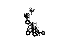 CCC(=O)OCn1nnc(-c2cccc(NC(=O)CN3NC(C4CCCCC4)c4ccccc4N(CC(=O)C4CCCC4)C3=O)c2)n1